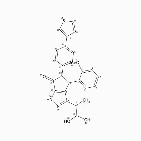 COc1ccccc1C1c2c(C(C)C(O)O)n[nH]c2C(=O)N1c1ccc(-c2ccsc2)cc1